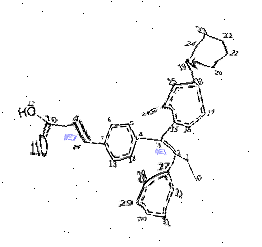 CC/C(=C(/c1ccc(/C=C/C(=O)O)cc1)c1ccc(N2CCCCC2)cc1)c1ccccc1